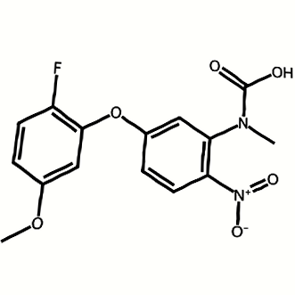 COc1ccc(F)c(Oc2ccc([N+](=O)[O-])c(N(C)C(=O)O)c2)c1